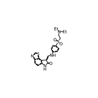 CCN(CC)CCS(=O)(=O)c1ccc(N/C=C2\C(=O)Nc3ccc4ncsc4c32)cc1